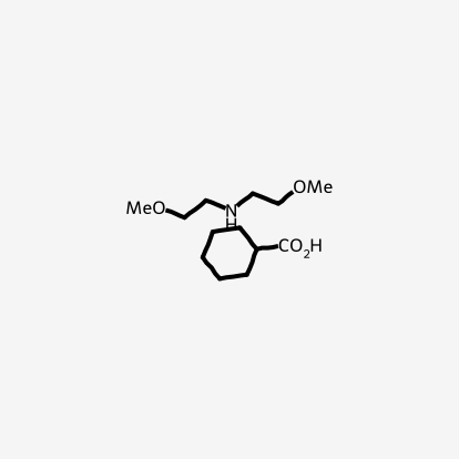 COCCNCCOC.O=C(O)C1CCCCC1